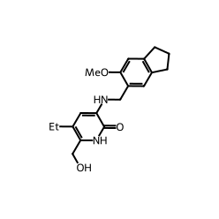 CCc1cc(NCc2cc3c(cc2OC)CCC3)c(=O)[nH]c1CO